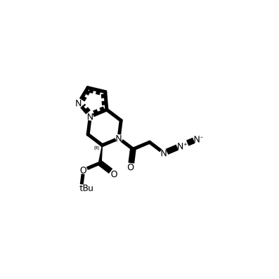 CC(C)(C)OC(=O)[C@H]1Cn2nccc2CN1C(=O)CN=[N+]=[N-]